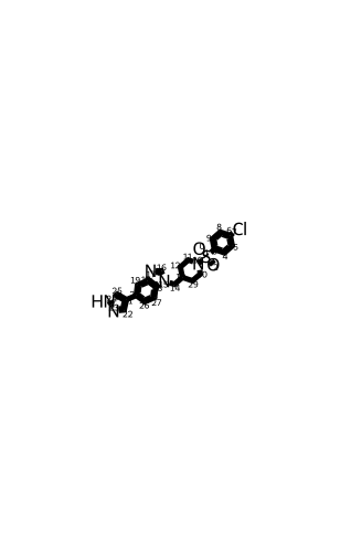 O=S(=O)(c1ccc(Cl)cc1)N1CCC(Cn2cnc3cc(-c4cn[nH]c4)ccc32)CC1